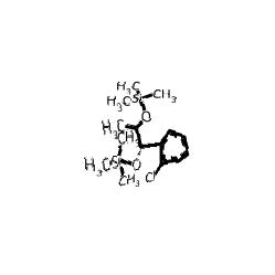 CC(O[Si](C)(C)C)[C@@H](O[Si](C)(C)C)c1ccccc1Cl